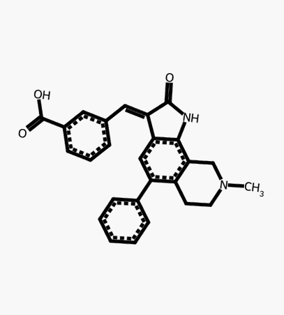 CN1CCc2c(-c3ccccc3)cc3c(c2C1)NC(=O)/C3=C/c1cccc(C(=O)O)c1